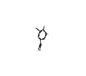 Cc1[c]cc(C#N)cc1C